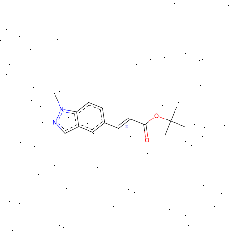 Cn1ncc2cc(/C=C/C(=O)OC(C)(C)C)ccc21